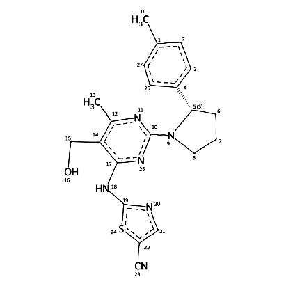 Cc1ccc([C@@H]2CCCN2c2nc(C)c(CO)c(Nc3ncc(C#N)s3)n2)cc1